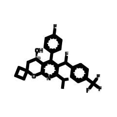 CC(C)c1nc2c(c(-c3ccc(F)cc3)c1C(F)c1ccc(C(F)(F)F)cc1)[C@@H](O)CC1(CCC1)O2